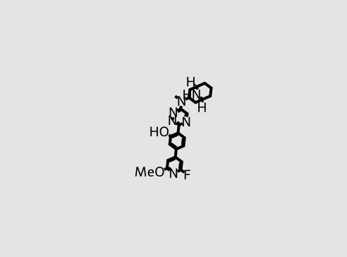 COc1cc(-c2ccc(-c3ncc(N(C)C4C[C@H]5CCC[C@H](C4)N5)nn3)c(O)c2)cc(F)n1